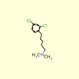 CN(C)CC[CH]CCc1ccc(Cl)cc1Cl